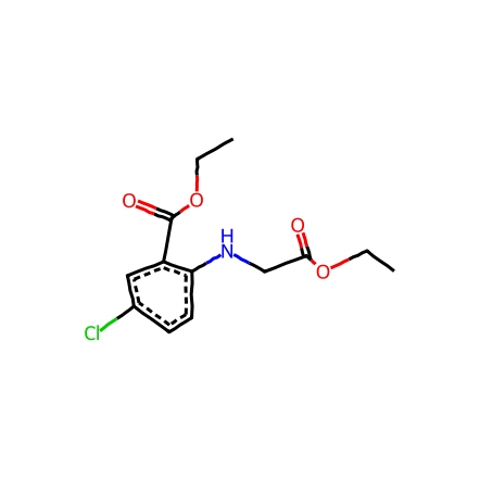 CCOC(=O)CNc1ccc(Cl)cc1C(=O)OCC